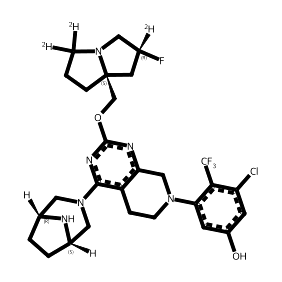 [2H]C1([2H])CC[C@@]2(COc3nc4c(c(N5C[C@H]6CC[C@@H](C5)N6)n3)CCN(c3cc(O)cc(Cl)c3C(F)(F)F)C4)C[C@@]([2H])(F)CN12